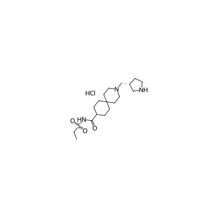 CCS(=O)(=O)NC(=O)C1CCC2(CC1)CCN(C[C@@H]1CCNC1)CC2.Cl